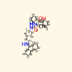 C[C@@H](NC(=O)NC1CCC(CCNC2c3ccccc3-c3ccccc32)CC1)C(O)(c1ccccc1)c1ccccc1